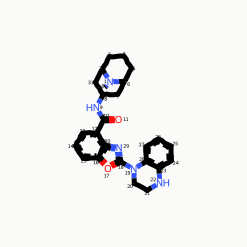 CN1C2CCCC1CC(NC(=O)c1cccc3oc(N4CCNc5ccccc54)nc13)C2